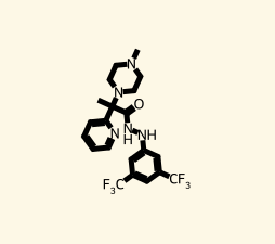 CN1CCN(C(C)(C(=O)NNc2cc(C(F)(F)F)cc(C(F)(F)F)c2)c2ccccn2)CC1